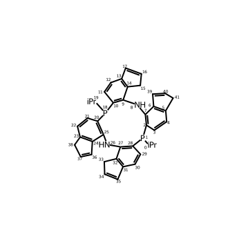 CC(C)P1c2ccc3c(c2Nc2c(ccc4c2CC=C4)P(C(C)C)c2ccc4c(c2Nc2c1ccc1c2CC=C1)C=CC4)C=CC3